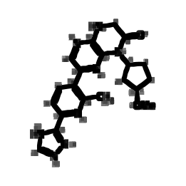 CO[C@@H]1CCC(N2C(=O)CNc3ncc(-c4ccc(-c5nnc[nH]5)nc4C)nc32)C1